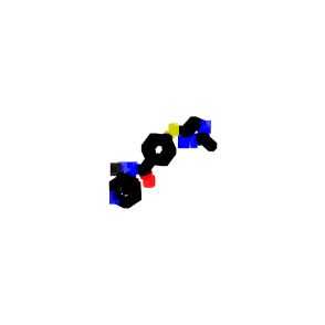 Cc1ncc(Sc2ccc(C(=O)N[C@H]3CN4CCC3CC4)cc2)[nH]1